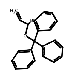 C=CC(Br)OC(c1ccccc1)(c1ccccc1)c1ccccc1